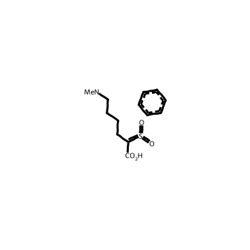 CNCCCCC(C(=O)O)=S(=O)=O.c1ccccc1